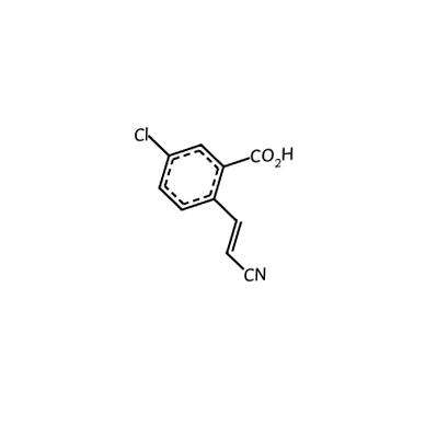 N#CC=Cc1ccc(Cl)cc1C(=O)O